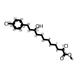 COC(=O)C(Cl)CCCCCCCC(O)CCc1ccc(Cl)cc1